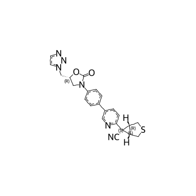 N#C[C@]1(c2ccc(-c3ccc(N4C[C@H](Cn5ccnn5)OC4=O)cc3)cn2)[C@@H]2CSC[C@@H]21